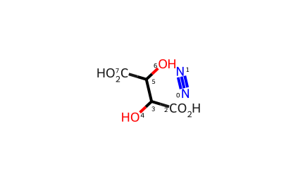 N#N.O=C(O)C(O)C(O)C(=O)O